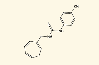 N#Cc1ccc(NC(=S)NCC2=CCC=CC=C2)cc1